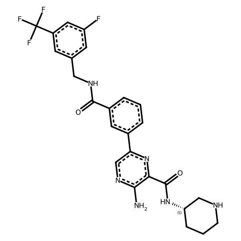 Nc1ncc(-c2cccc(C(=O)NCc3cc(F)cc(C(F)(F)F)c3)c2)nc1C(=O)N[C@H]1CCCNC1